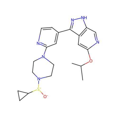 CC(C)Oc1cc2c(-c3ccnc(N4CCN([S+]([O-])C5CC5)CC4)c3)n[nH]c2cn1